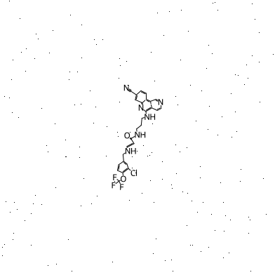 N#Cc1ccc2c(c1)nc(NCCCNC(=O)C=CNCc1ccc(OC(F)(F)F)c(Cl)c1)c1ccncc12